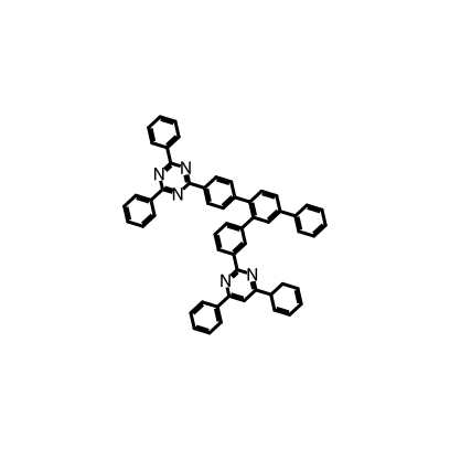 C1=CCC(c2cc(-c3ccccc3)nc(-c3cccc(-c4cc(-c5ccccc5)ccc4-c4ccc(-c5nc(-c6ccccc6)nc(-c6ccccc6)n5)cc4)c3)n2)C=C1